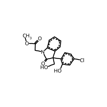 COC(=O)CN1C(=O)C(CO)(c2ccc(Cl)cc2O)c2ccccc21